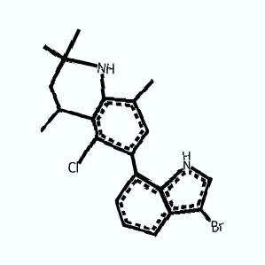 Cc1cc(-c2cccc3c(Br)c[nH]c23)c(Cl)c2c1NC(C)(C)CC2C